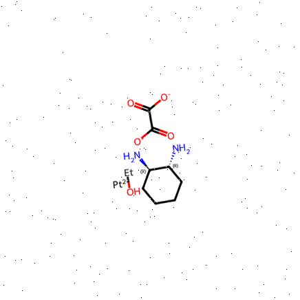 CCO.N[C@@H]1CCCC[C@H]1N.O=C([O-])C(=O)[O-].[Pt+2]